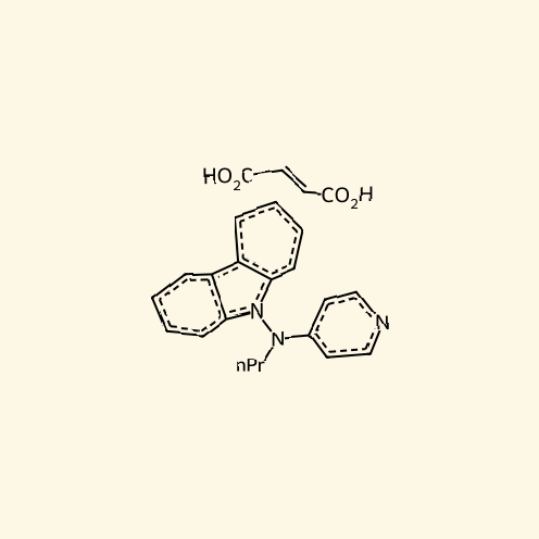 CCCN(c1ccncc1)n1c2ccccc2c2ccccc21.O=C(O)C=CC(=O)O